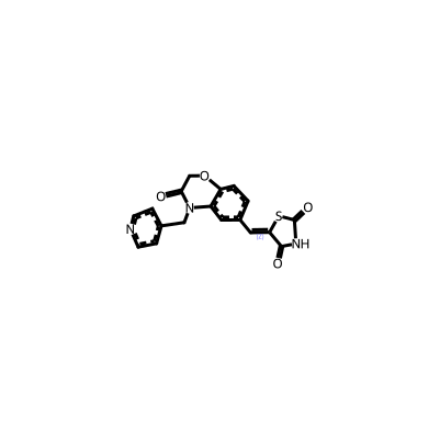 O=C1NC(=O)/C(=C/c2ccc3c(c2)N(Cc2ccncc2)C(=O)CO3)S1